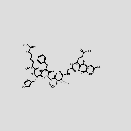 C[C@H](NC(=O)[C@H](CO)NC(=O)[C@H](Cc1ccccc1)NC(=O)[C@H](Cc1c[nH]cn1)NC(=O)[C@@H](N)CCCNC(=N)N)C(=O)NCC(=O)N[C@@H](CCC(=O)O)C(=O)N[C@@H](CC(=O)O)C(=O)O